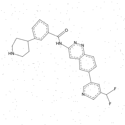 O=C(Nc1cc2cc(-c3cncc(C(F)F)c3)ccc2nn1)c1cccc(C2CCNCC2)c1